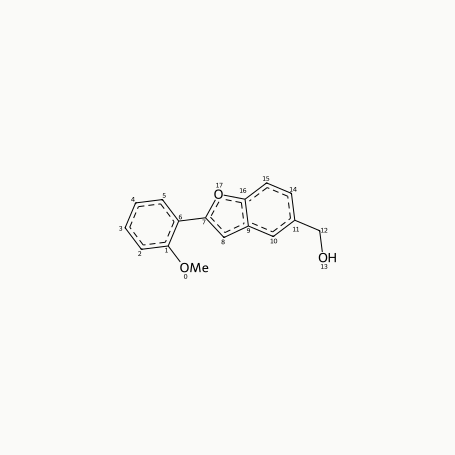 COc1ccccc1-c1cc2cc(CO)ccc2o1